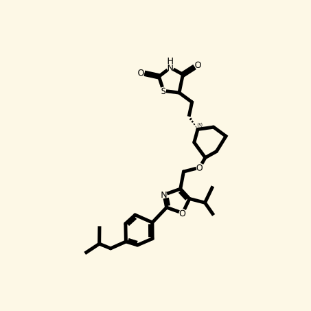 CC(C)Cc1ccc(-c2nc(COC3CCC[C@@H](CCC4SC(=O)NC4=O)C3)c(C(C)C)o2)cc1